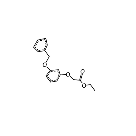 CCOC(=O)COc1cccc(OCc2ccccc2)c1